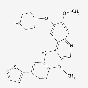 COc1ccc(-c2cccs2)cc1Nc1ncnc2cc(OC)c(OC3CCNCC3)cc12